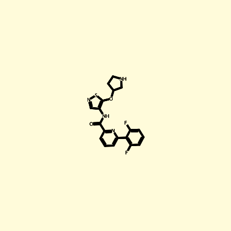 O=C(Nc1cnsc1OC1CCNC1)c1cccc(-c2c(F)cccc2F)n1